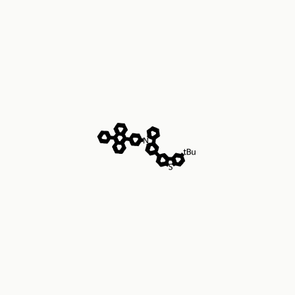 CC(C)(C)c1ccc2sc3ccc(-c4ccc5c(c4)c4ccccc4n5-c4ccc(-c5c6ccccc6c(-c6ccccc6)c6ccccc56)cc4)cc3c2c1